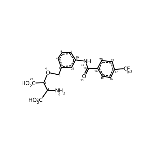 NC(C(=O)O)C(OCc1cccc(NC(=O)c2ccc(C(F)(F)F)cc2)c1)C(=O)O